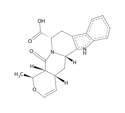 C[C@@H]1OC=C[C@H]2C[C@H]3c4[nH]c5ccccc5c4C[C@@H](C(=O)O)N3C(=O)[C@@H]12